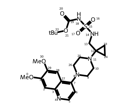 COc1cc2nccc(N3CCN(C4(CNS(=O)(=O)NC(=O)OC(C)(C)C)CC4)CC3)c2cc1OC